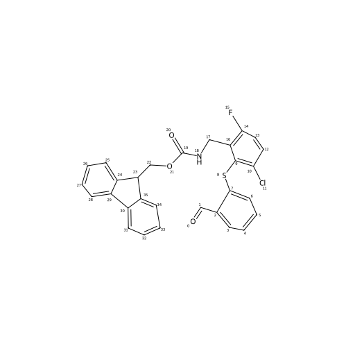 O=Cc1ccccc1Sc1c(Cl)ccc(F)c1CNC(=O)OCC1c2ccccc2-c2ccccc21